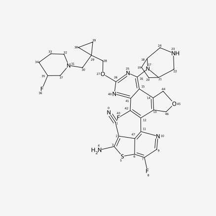 N#Cc1c(N)sc2c(F)cnc(-c3c4c(c5c(N6C7CCC6CNC7)nc(OCC6(CN7CCCC(F)C7)CC6)nc5c3F)COC4)c12